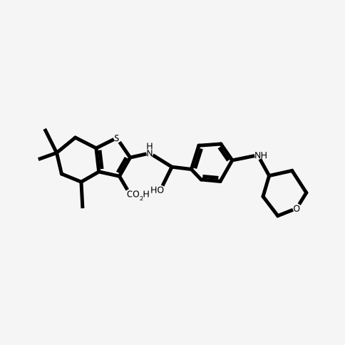 CC1CC(C)(C)Cc2sc(NC(O)c3ccc(NC4CCOCC4)cc3)c(C(=O)O)c21